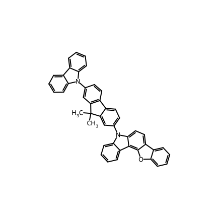 CC1(C)c2cc(-n3c4ccccc4c4ccccc43)ccc2-c2ccc(-n3c4ccccc4c4c5oc6ccccc6c5ccc43)cc21